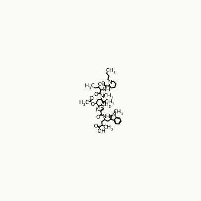 CCCCN1CCCC[C@@H]1C(=O)NC(C(=O)N(C)C(CC(OC(C)=O)c1nc(C(=O)NC(Cc2cn(C)c3ccccc23)CC(C)C(=O)O)cs1)C(C)C)C(C)CC